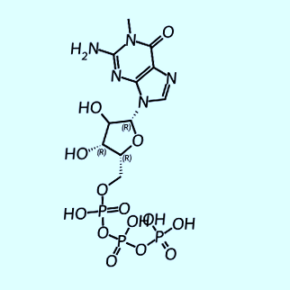 Cn1c(N)nc2c(ncn2[C@@H]2O[C@H](COP(=O)(O)OP(=O)(O)OP(=O)(O)O)[C@H](O)C2O)c1=O